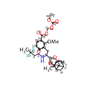 COc1c(CC(NC(=O)CC(C)(F)F)B2OC3CC4CC(C4(C)C)C3(C)O2)cccc1C(=O)OCOC(=O)OC(C)C